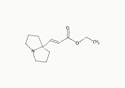 CCOC(=O)C=CC12CCCN1CCC2